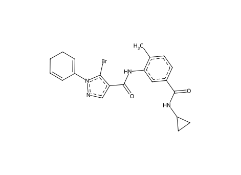 Cc1ccc(C(=O)NC2CC2)cc1NC(=O)c1cnn(C2=CCCC=C2)c1Br